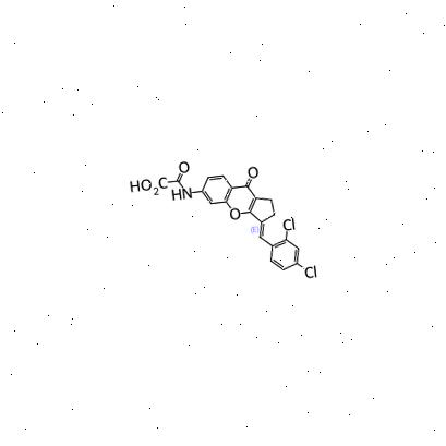 O=C(O)C(=O)Nc1ccc2c(=O)c3c(oc2c1)/C(=C/c1ccc(Cl)cc1Cl)CC3